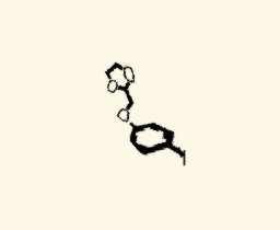 Ic1ccc(OCC2OCCO2)cc1